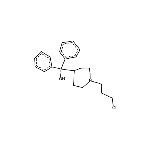 OC(c1ccccc1)(c1ccccc1)C1CCN(CCCCl)CC1